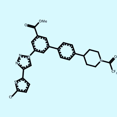 COC(=O)c1cc(-c2ccc(C3CCN(C(=O)C(F)(F)F)CC3)cc2)cc(-n2cc(-c3ccc(Cl)s3)nn2)c1